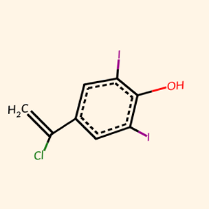 C=C(Cl)c1cc(I)c(O)c(I)c1